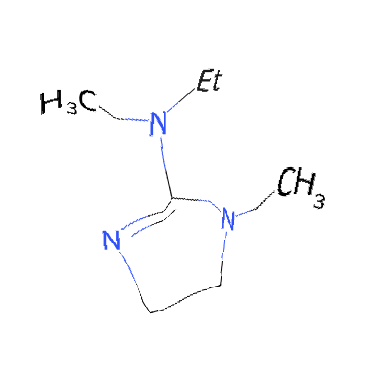 CCN(C)C1=NCCN1C